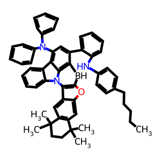 CCCCCc1ccc(Nc2ccccc2-c2cc(N(c3ccccc3)c3ccccc3)c3c4ccccc4n4c3c2Bc2oc3cc5c(cc3c2-4)C(C)(C)CCC5(C)C)cc1